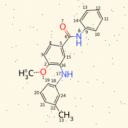 COc1ccc(C(=O)Nc2ccccc2)cc1Nc1cccc(C)c1